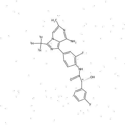 [2H]C([2H])([2H])c1nc(-c2ccc(NC(=O)[C@H](O)c3cccc(F)c3)c(F)c2)c2c(N)nc(C)cn12